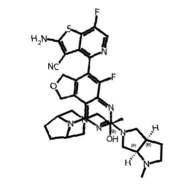 C[C@@H](O)CN1CC2CCC(C1)N2c1nc(N2C[C@H]3CCN(C)[C@H]3C2)nc2c(F)c(-c3ncc(F)c4sc(N)c(C#N)c34)c3c(c12)COC3